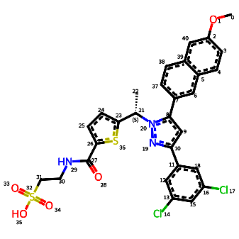 COc1ccc2cc(-c3cc(-c4cc(Cl)cc(Cl)c4)nn3[C@@H](C)c3ccc(C(=O)NCCS(=O)(=O)O)s3)ccc2c1